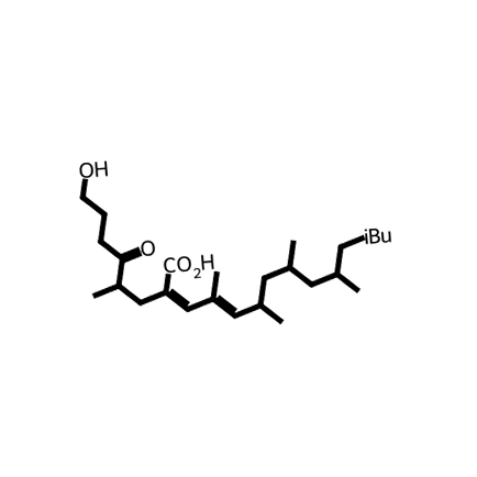 CCC(C)CC(C)CC(C)CC(C)/C=C(C)/C=C(/CC(C)C(=O)CCCO)C(=O)O